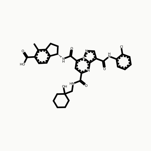 Cc1c(C(=O)O)ccc2c1CC[C@@H]2NC(=O)c1cc(C(=O)NCC2(O)CCCCC2)nc2c(C(=O)Nc3ccccc3Cl)cnn12